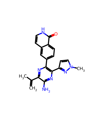 C=C(C)c1nc(-c2ccc3c(=O)[nH]ccc3c2)c(-c2ccn(C)n2)nc1N